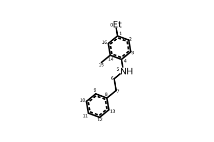 CCc1ccc(NCCc2ccccc2)c(C)c1